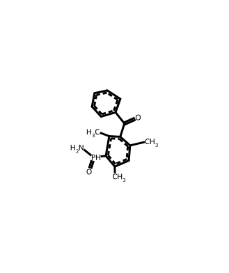 Cc1cc(C)c([PH](N)=O)c(C)c1C(=O)c1ccccc1